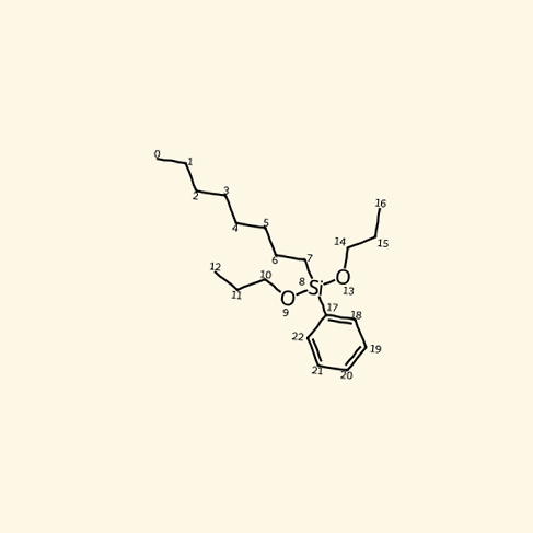 CCCCCCCC[Si](OCCC)(OCCC)c1ccccc1